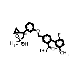 Cc1ccc(F)c(-c2ccc(COc3cccc([C@@H](CP(C)(=O)O)C4CC4)c3)cc2[C@@H](C)C(C)(C)C)c1